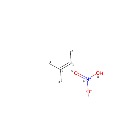 CC=C(C)C.O=[N+]([O-])O